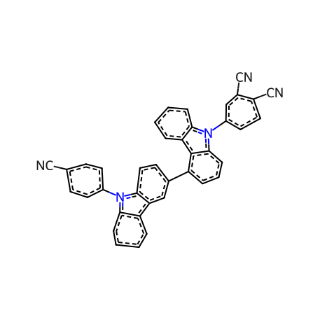 N#Cc1ccc(-n2c3ccccc3c3cc(-c4cccc5c4c4ccccc4n5-c4ccc(C#N)c(C#N)c4)ccc32)cc1